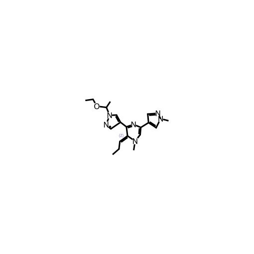 CC/C=C1/C(c2cnn(C(C)OCC)c2)=NC(c2cnn(C)c2)=CN1C